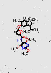 COc1nc(OC)c(NC(=O)c2ccc(Oc3cc4c(cc3C)[Si](C)(C)CC4C(C)C)o2)c(OC)n1